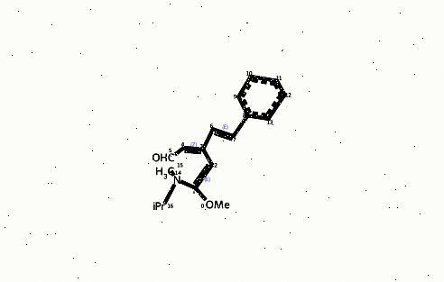 CO/C(=C/C(=C\C=O)/C=C/c1ccccc1)N(C)C(C)C